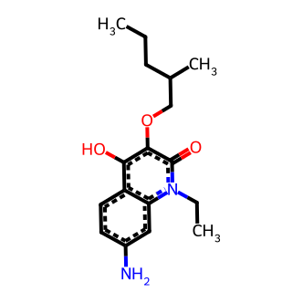 CCCC(C)COc1c(O)c2ccc(N)cc2n(CC)c1=O